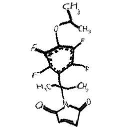 CC(C)Oc1c(F)c(F)c(C(C)(C)N2C(=O)C=CC2=O)c(F)c1F